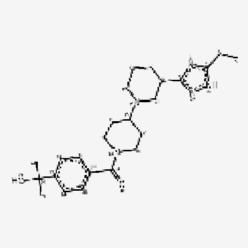 CCc1nc(C2CCCN(C3CCN(C(=O)c4ccc(C(C)(C)O)cc4)CC3)C2)n[nH]1